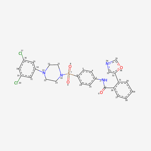 O=C(Nc1ccc(S(=O)(=O)N2CCN(c3cc(Cl)cc(Cl)c3)CC2)cc1)c1ccccc1-c1cnco1